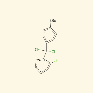 CC(C)(C)c1ccc(C(Cl)(Cl)c2ccccc2F)cc1